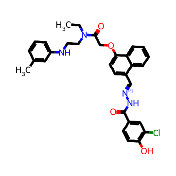 CCN(CCNc1cccc(C)c1)C(=O)COc1ccc(/C=N/NC(=O)c2ccc(O)c(Cl)c2)c2ccccc12